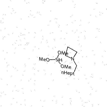 CCCCCCCCN1CCC1.CO[SiH](OC)OC